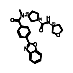 CN(C(=O)c1ccc(-c2nc3ccccc3o2)cc1)[C@@H]1CC[C@H](C(=O)N[C@@H]2CCOC2)C1